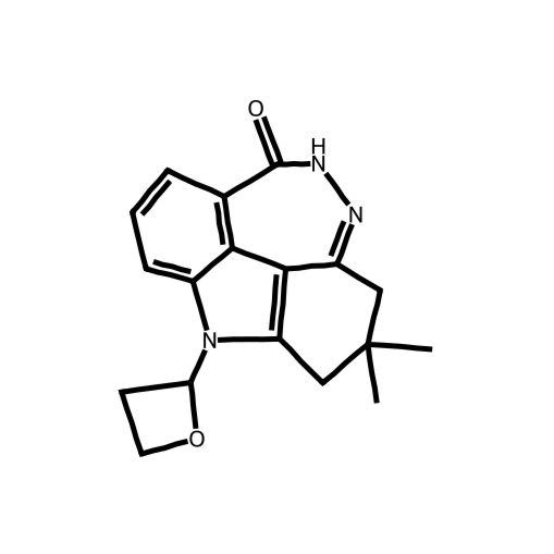 CC1(C)CC2=NNC(=O)c3cccc4c3c2c(n4C2CCO2)C1